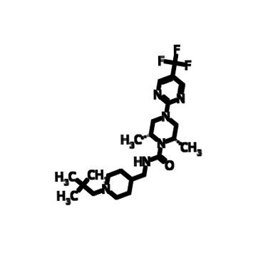 C[C@@H]1CN(c2ncc(C(F)(F)F)cn2)C[C@H](C)N1C(=O)NCC1CCN(CC(C)(C)C)CC1